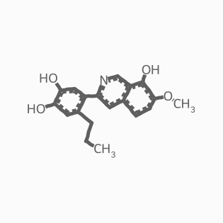 CCCc1cc(O)c(O)cc1-c1cc2ccc(OC)c(O)c2cn1